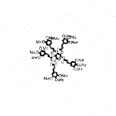 COc1cc(/C=C/C(=O)OC[C@H]2O[C@H](OC(=O)/C=C/c3cc(OC)c(OC)c(OC)c3)[C@H](OC(=O)/C=C/c3cc(OC)c(OC)c(OC)c3)[C@@H](OC(=O)/C=C/c3cc(OC)c(OC)c(OC)c3)[C@@H]2OC(=O)/C=C/c2cc(OC)c(OC)c(OC)c2)cc(OC)c1OC